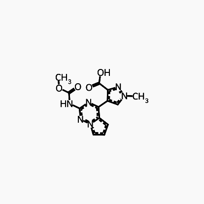 COC(=O)Nc1nc(-c2cn(C)nc2C(=O)O)c2cccn2n1